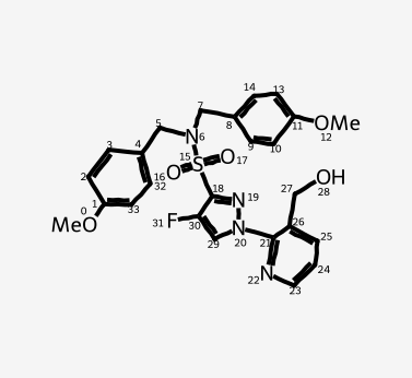 COc1ccc(CN(Cc2ccc(OC)cc2)S(=O)(=O)c2nn(-c3ncccc3CO)cc2F)cc1